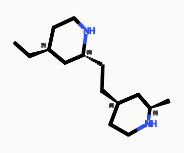 CC[C@H]1CCN[C@H](CC[C@@H]2CCN[C@H](C)C2)C1